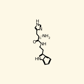 N[C@@H](Cc1c[nH]cn1)C(=O)NCCc1c[nH]c2ccccc12